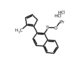 CC1=C(c2ccc3ccccc3[c]2[Ti][O]C(C)C)CC=C1.Cl.Cl